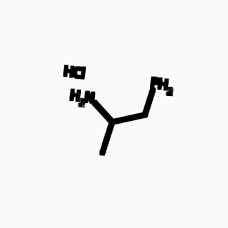 CC(N)CP.Cl